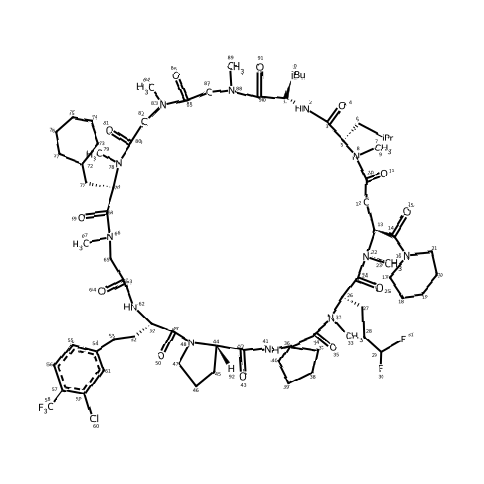 CC[C@H](C)[C@@H]1NC(=O)[C@H](CC(C)C)N(C)C(=O)C[C@@H](C(=O)N2CCCCC2)N(C)C(=O)[C@H](CCC(F)F)N(C)C(=O)C2(CCCC2)NC(=O)[C@@H]2CCCN2C(=O)[C@H](CCc2ccc(C(F)(F)F)c(Cl)c2)NC(=O)CN(C)C(=O)[C@H](CC2CCCCC2)N(C)C(=O)CN(C)C(=O)CN(C)C1=O